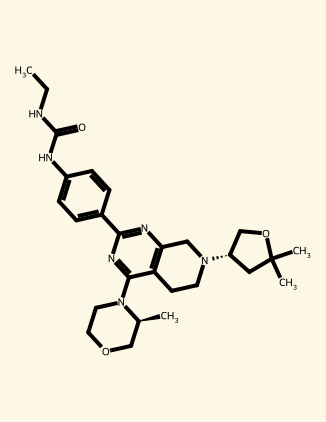 CCNC(=O)Nc1ccc(-c2nc3c(c(N4CCOC[C@@H]4C)n2)CCN([C@@H]2COC(C)(C)C2)C3)cc1